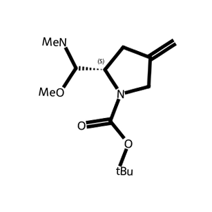 C=C1C[C@@H](C(NC)OC)N(C(=O)OC(C)(C)C)C1